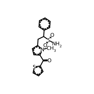 Cn1c(CC(c2ccccc2)S(N)(=O)=O)ccc1C(=O)c1cccs1